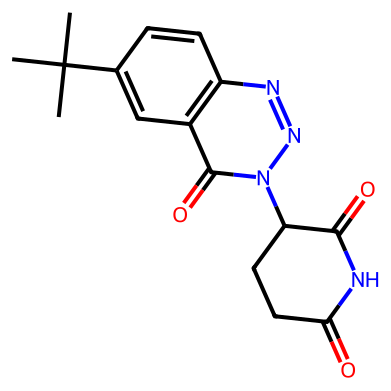 CC(C)(C)c1ccc2nnn(C3CCC(=O)NC3=O)c(=O)c2c1